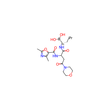 Cc1nc(C)c(C(=O)NC(CC(=O)N2CCOCC2)C(=O)N[C@@H](CC(C)C)B(O)O)o1